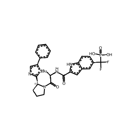 CC(C)(C)C(NC(=O)c1cc2cc(C(F)(F)P(=O)(O)O)ccc2[nH]1)C(=O)N1CCC[C@H]1c1ncc(-c2ccccc2)s1